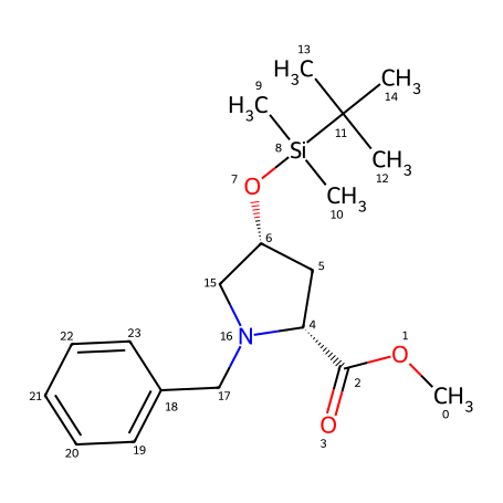 COC(=O)[C@H]1C[C@@H](O[Si](C)(C)C(C)(C)C)CN1Cc1ccccc1